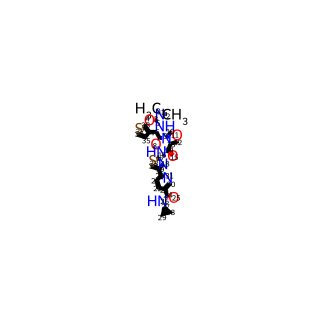 CN(C)C(=O)NC(C(=O)N1COCC1C(=O)Nc1nc(-c2ccc(C(=O)NC3CC3)cn2)cs1)c1ccsc1